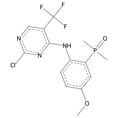 COc1ccc(Nc2nc(Cl)ncc2C(F)(F)F)c(P(C)(C)=O)c1